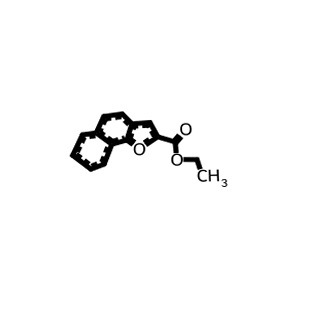 CCOC(=O)c1cc2ccc3ccccc3c2o1